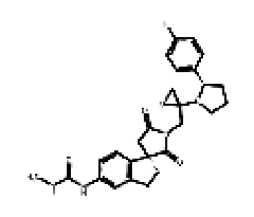 CNC(=O)Nc1ccc2c(c1)CC[C@@]21CC(=O)N(CC2(N3CCC[C@@H]3c3ccc(F)cc3)CO2)C1=O